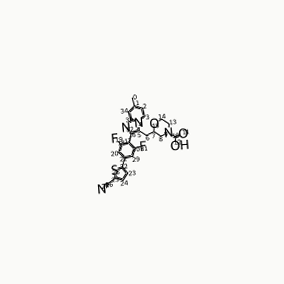 Cc1ccn2c(CC3CN(C(=O)O)CCO3)c(-c3c(F)cc(-c4ccc(C#N)s4)cc3F)nc2c1